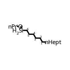 CCCCCCCCCCCCC[SiH2]OCCC